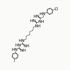 Cc1ccc(NC(=N)NC(=N)NCCCCCCNC(=N)NC(=N)CNc2ccc(Cl)cc2)cc1